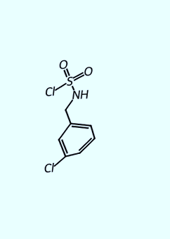 O=S(=O)(Cl)NCc1cccc(Cl)c1